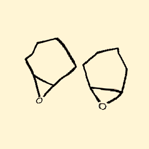 C1CCC2OC2C1.C1CCC2OC2C1